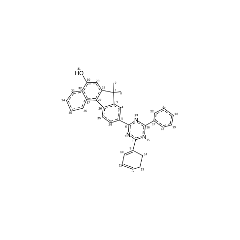 CC1(C)c2cc(-c3nc(C4=CC=CCC4)nc(-c4ccccc4)n3)ccc2-c2c1cc(O)c1ccccc21